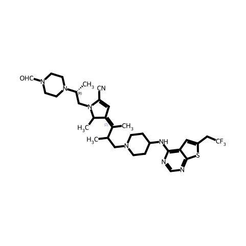 C/C(=C1\C=C(C#N)N(C[C@@H](C)N2CCN(C=O)CC2)C1C)C(C)CN1CCC(Nc2ncnc3sc(CC(F)(F)F)cc23)CC1